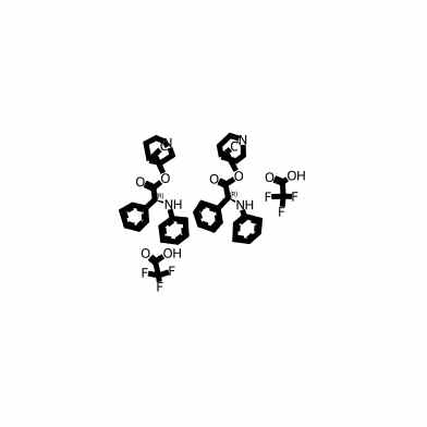 O=C(O)C(F)(F)F.O=C(O)C(F)(F)F.O=C(OC1CN2CCC1CC2)[C@H](Nc1ccccc1)c1ccccc1.O=C(OC1CN2CCC1CC2)[C@H](Nc1ccccc1)c1ccccc1